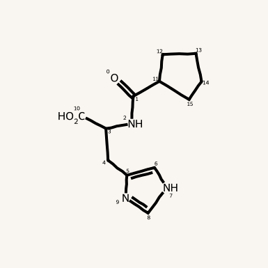 O=C(NC(Cc1c[nH]cn1)C(=O)O)C1CCCC1